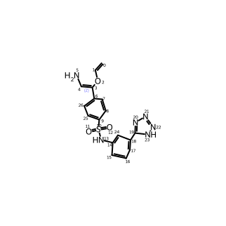 C=CO/C(=C\N)c1ccc(S(=O)(=O)Nc2cccc(-c3nnn[nH]3)c2)cc1